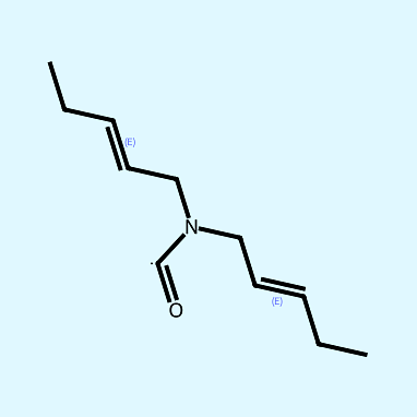 CC/C=C/CN([C]=O)C/C=C/CC